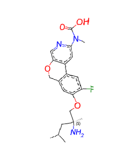 CC(C)C[C@](C)(N)COc1cc2c(cc1F)-c1cc(N(C)C(=O)O)ncc1OC2